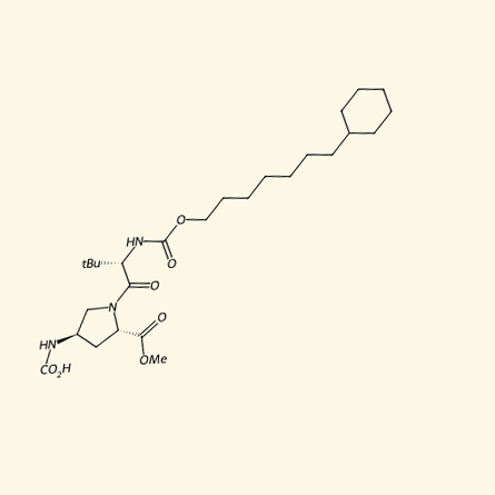 COC(=O)[C@@H]1C[C@@H](NC(=O)O)CN1C(=O)[C@@H](NC(=O)OCCCCCCCC1CCCCC1)C(C)(C)C